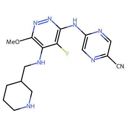 COc1nnc(Nc2cnc(C#N)cn2)c(F)c1NCC1CCCNC1